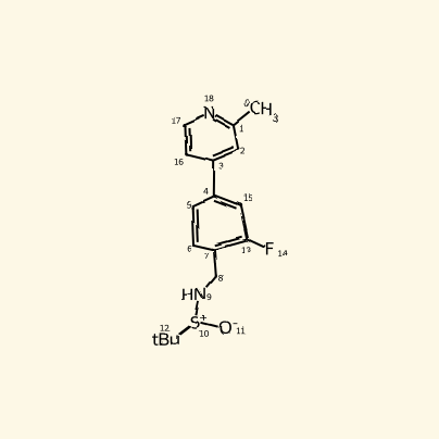 Cc1cc(-c2ccc(CN[S+]([O-])C(C)(C)C)c(F)c2)ccn1